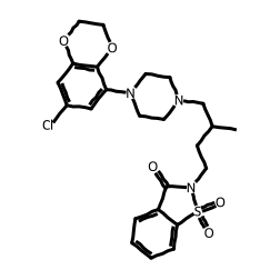 CC(CCN1C(=O)c2ccccc2S1(=O)=O)CN1CCN(c2cc(Cl)cc3c2OCCO3)CC1